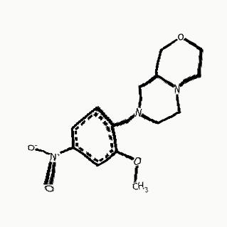 COc1cc([N+](=O)[O-])ccc1N1CCN2CCOCC2C1